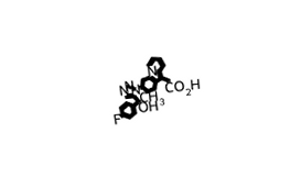 CC(O)(c1ccc(F)cc1)c1cnnn1C1CCc2c(CC(=O)O)c3ccccn3c2C1